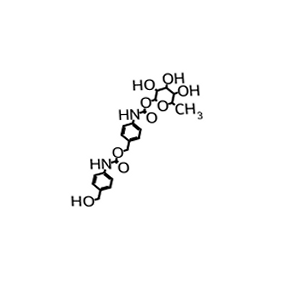 CC1OC(OC(=O)Nc2ccc(COC(=O)Nc3ccc(CO)cc3)cc2)C(O)C(O)C1O